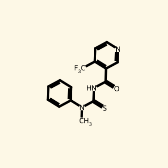 CN(C(=S)NC(=O)c1cnccc1C(F)(F)F)c1ccccc1